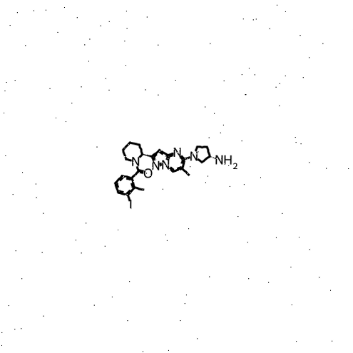 Cc1cn2nc([C@@H]3CCCCN3C(=O)c3cccc(I)c3C)cc2nc1N1CC[C@H](N)C1